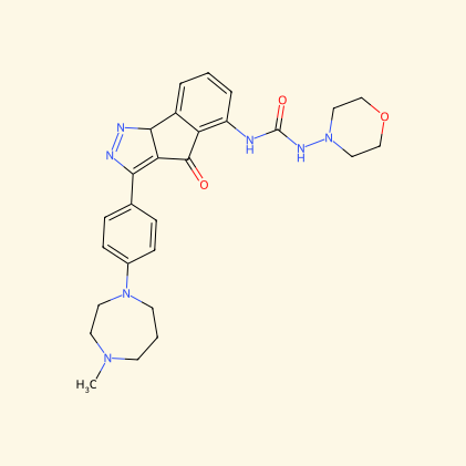 CN1CCCN(c2ccc(C3=C4C(=O)c5c(NC(=O)NN6CCOCC6)cccc5C4N=N3)cc2)CC1